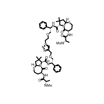 CN[C@@H](C)C(=O)N[C@H]1CCS[C@H]2CC(C)(C)[C@@H](C(=O)N[C@H](COCCn3cc(COC[C@@H](NC(=O)[C@H]4N5C(=O)[C@@H](NC(=O)[C@H](C)NC)CCS[C@H]5CC4(C)C)c4ccccc4)nn3)c3ccccc3)N2C1=O